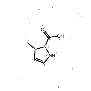 CN1[C]=CNN1C(=O)O